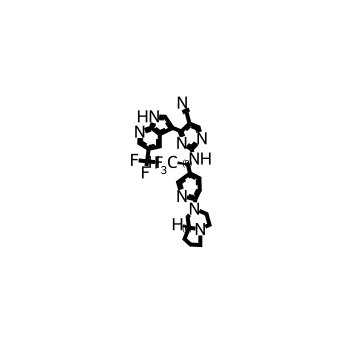 C[C@@H](Nc1ncc(C#N)c(-c2c[nH]c3ncc(C(F)(F)F)cc23)n1)c1ccc(N2CCN3CCC[C@@H]3C2)nc1